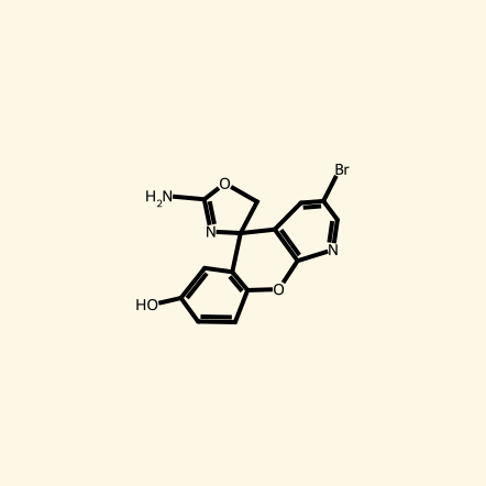 NC1=NC2(CO1)c1cc(O)ccc1Oc1ncc(Br)cc12